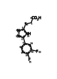 O=C(O)CSc1nnc(-c2ccc(F)c(F)c2)[nH]1